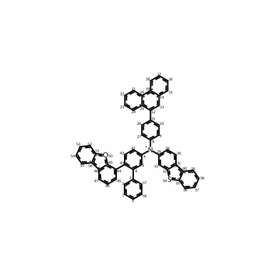 c1ccc(-c2cc(N(c3ccc(-c4cc5ccccc5c5ccccc45)cc3)c3ccc4c(c3)sc3ccccc34)ccc2-c2cccc3c2oc2ccccc23)cc1